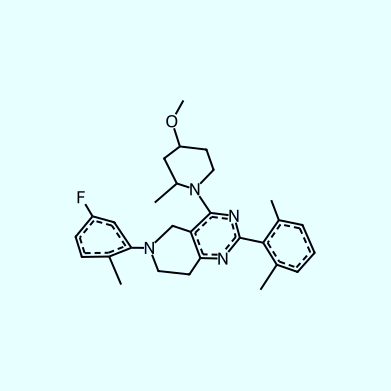 COC1CCN(c2nc(-c3c(C)cccc3C)nc3c2CN(c2cc(F)ccc2C)CC3)C(C)C1